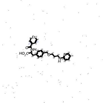 C/C=C(\C=C/CC)C(=O)NC(Cc1ccc(COCCCNc2ccccn2)cc1)C(=O)O